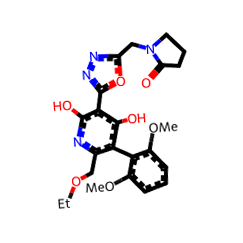 CCOCc1nc(O)c(-c2nnc(CN3CCCC3=O)o2)c(O)c1-c1c(OC)cccc1OC